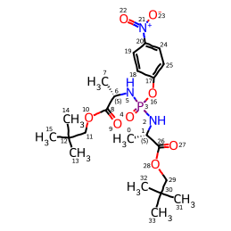 C[C@H](NP(=O)(N[C@@H](C)C(=O)OCC(C)(C)C)Oc1ccc([N+](=O)[O-])cc1)C(=O)OCC(C)(C)C